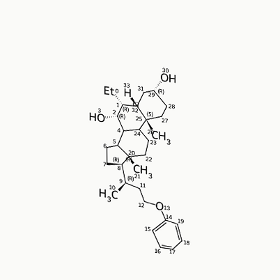 CC[C@H]1[C@@H](O)C2C3CC[C@H]([C@H](C)CCOc4ccccc4)[C@@]3(C)CCC2[C@@]2(C)CC[C@@H](O)C[C@@H]12